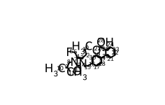 CCCc1c(CF)n(CC(C)C)c(=O)n1Cc1ccc(-c2ccccc2C(=O)O)cc1